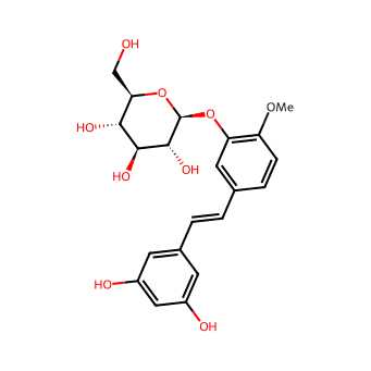 COc1ccc(/C=C/c2cc(O)cc(O)c2)cc1O[C@@H]1O[C@H](CO)[C@@H](O)[C@H](O)[C@H]1O